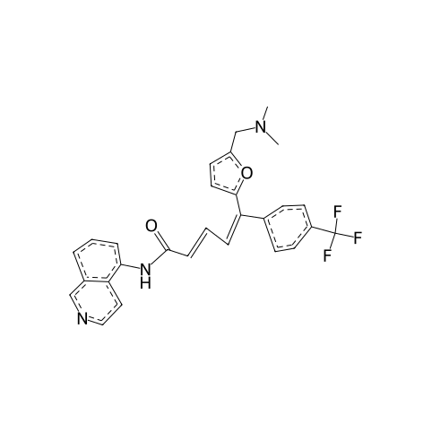 CN(C)Cc1ccc(C(=CC=CC(=O)Nc2cccc3cnccc23)c2ccc(C(F)(F)F)cc2)o1